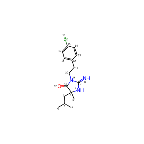 CC(C)CC1(C)NC(=N)N(CCc2ccc(Br)cc2)C1=O